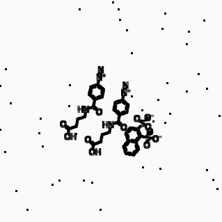 N#[N+]c1ccc(C(=O)NCCCC(=O)O)cc1.N#[N+]c1ccc(C(=O)NCCCC(=O)O)cc1.O=S(=O)([O-])c1ccc2ccccc2c1S(=O)(=O)[O-]